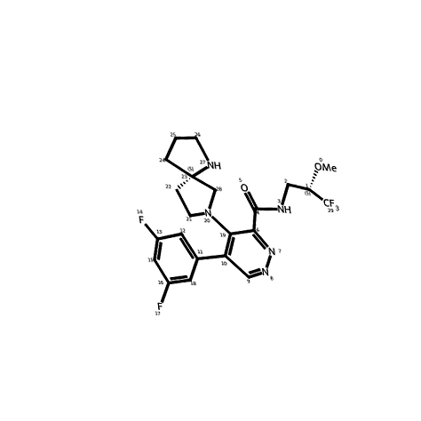 CO[C@@H](CNC(=O)c1nncc(-c2cc(F)cc(F)c2)c1N1CC[C@@]2(CCCN2)C1)C(F)(F)F